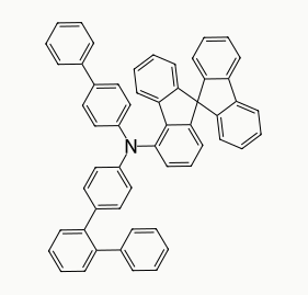 c1ccc(-c2ccc(N(c3ccc(-c4ccccc4-c4ccccc4)cc3)c3cccc4c3-c3ccccc3C43c4ccccc4-c4ccccc43)cc2)cc1